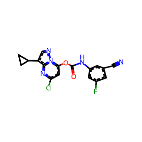 N#Cc1cc(F)cc(NC(=O)Oc2cc(Cl)nc3c(C4CC4)cnn23)c1